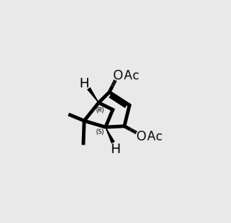 CC(=O)OC1=CC(OC(C)=O)[C@H]2C[C@@H]1C2(C)C